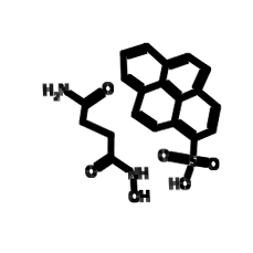 NC(=O)CCC(=O)NO.O=S(=O)(O)c1ccc2ccc3cccc4ccc1c2c34